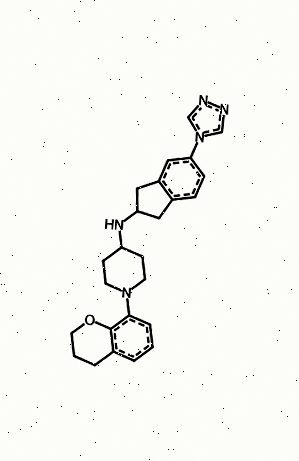 c1cc2c(c(N3CCC(NC4Cc5ccc(-n6cnnc6)cc5C4)CC3)c1)OCCC2